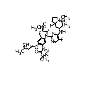 CN(C)CCOc1cc(F)c(N(CCN(C)C)c2ncc(F)c(N[C@@H]3C[C@@H]4CCCN4C(C)(C)C3)n2)cc1-n1nnn(C)c1=O